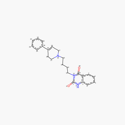 O=c1[nH]c2ccccc2c(=O)n1CCCCN1CC=C(c2ccccc2)CC1